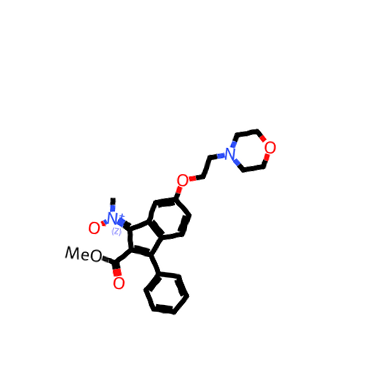 COC(=O)C1=C(c2ccccc2)c2ccc(OCCN3CCOCC3)cc2/C1=[N+](\C)[O-]